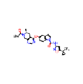 C[C@H]1Cc2c(ncnc2Oc2ccc3c(ccn3C(=O)Nc3cc(C4(C(F)(F)F)CC4)on3)c2)CN1C(=O)C(C)(C)C